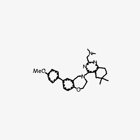 COc1ccc(-c2ccc3c(c2)CN(c2nc(CN(C)C)nc4c2CC(C)(C)CC4)CCO3)cc1